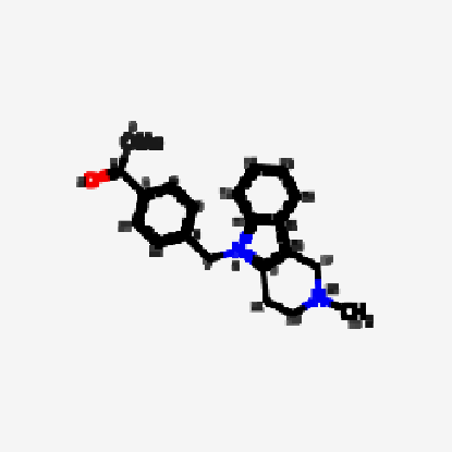 COC(=O)c1ccc(Cn2c3c(c4ccccc42)CN(C)CC3)cc1